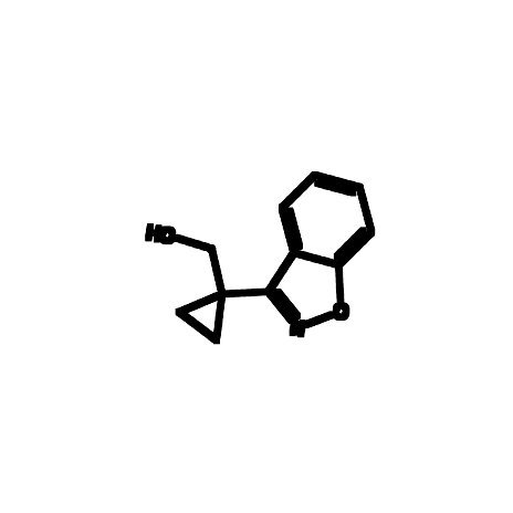 OCC1(c2noc3ccccc23)CC1